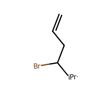 C=CCC(Br)[C](C)C